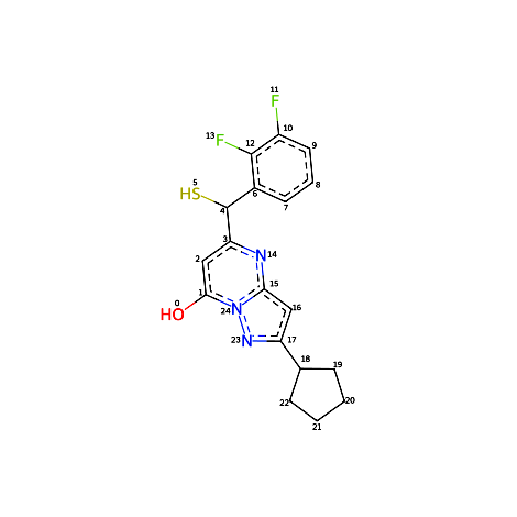 Oc1cc(C(S)c2cccc(F)c2F)nc2cc(C3CCCC3)nn12